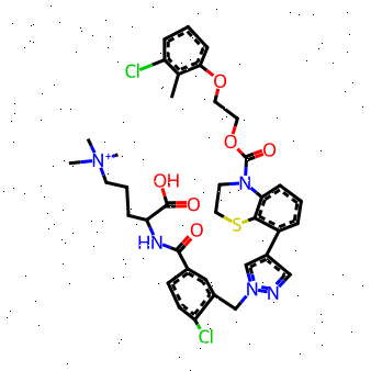 Cc1c(Cl)cccc1OCCOC(=O)N1CCSc2c(-c3cnn(Cc4cc(C(=O)NC(CCC[N+](C)(C)C)C(=O)O)ccc4Cl)c3)cccc21